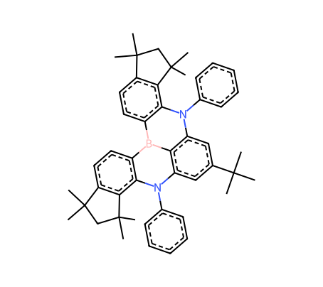 CC(C)(C)c1cc2c3c(c1)N(c1ccccc1)c1c(ccc4c1C(C)(C)CC4(C)C)B3c1ccc3c(c1N2c1ccccc1)C(C)(C)CC3(C)C